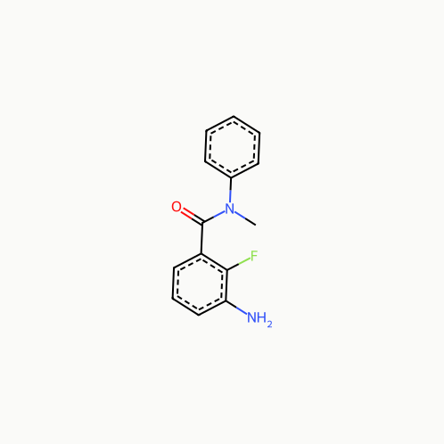 CN(C(=O)c1cccc(N)c1F)c1ccccc1